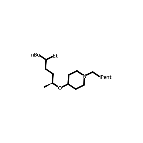 CCCCC(CC)CC[C@H](C)OC1CCN(CC(C)CCC)CC1